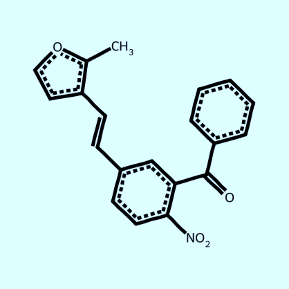 Cc1occc1C=Cc1ccc([N+](=O)[O-])c(C(=O)c2ccccc2)c1